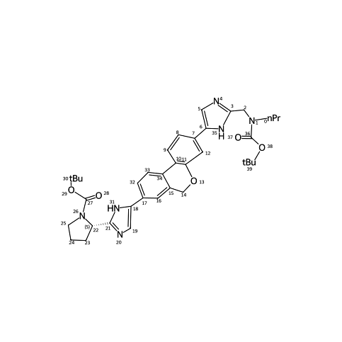 CCCN(Cc1ncc(-c2ccc3c(c2)OCc2cc(-c4cnc([C@@H]5CCCN5C(=O)OC(C)(C)C)[nH]4)ccc2-3)[nH]1)C(=O)OC(C)(C)C